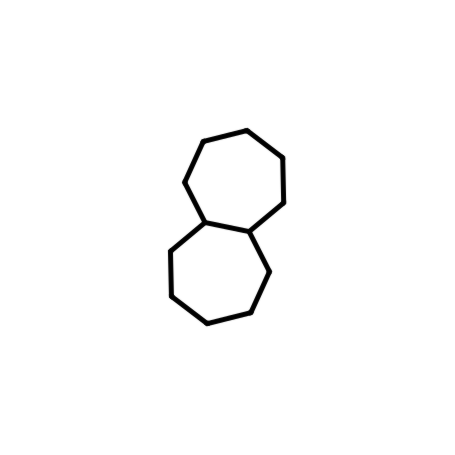 C1CC[C]2CCCCCC2CC1